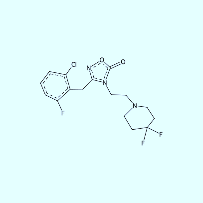 O=c1onc(Cc2c(F)cccc2Cl)n1CCN1CCC(F)(F)CC1